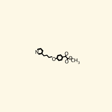 COC(=O)C(=O)c1ccc(OCCCCc2cccnc2)cc1